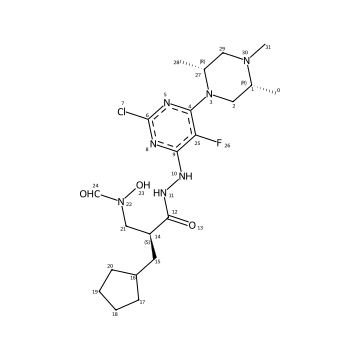 C[C@@H]1CN(c2nc(Cl)nc(NNC(=O)[C@@H](CC3CCCC3)CN(O)C=O)c2F)[C@H](C)CN1C